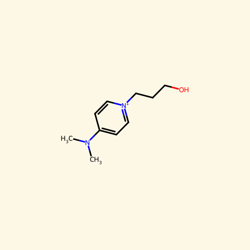 CN(C)c1cc[n+](CCCO)cc1